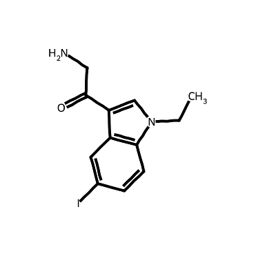 CCn1cc(C(=O)CN)c2cc(I)ccc21